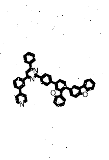 c1ccc(-c2cc(-c3cccc(-c4ccncc4)c3)nc(-c3ccc(-c4ccc(-c5ccc6oc7ccccc7c6c5)c5c4oc4ccccc45)cc3)n2)cc1